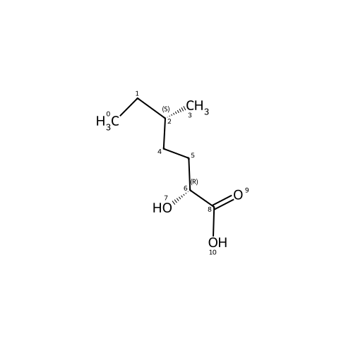 CC[C@H](C)CC[C@@H](O)C(=O)O